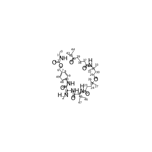 CCNC(=O)OCc1ccc(NC(=O)[C@H](N)NC(=O)[C@@H](NC(=O)CCC(C)(C)OCCC(C)(C)NC(=O)CCCC(=O)C(C)C)C(C)C)cc1